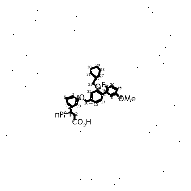 CCC[C@H](CC(=O)O)c1cccc(OCc2ccc(-c3cc(OC)ccc3F)c(OCC3CCCCC3)c2)c1